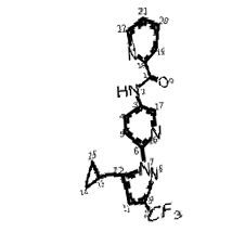 O=C(Nc1ccc(-n2nc(C(F)(F)F)cc2C2CC2)nc1)c1ccccn1